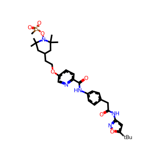 CC(C)(C)c1cc(NC(=O)Cc2ccc(NC(=O)c3ccc(OCCC4CC(C)(C)N(OS(C)(=O)=O)C(C)(C)C4)cn3)cc2)no1